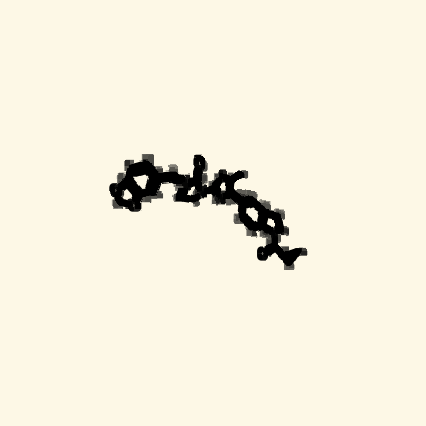 Cc1sc(N2CCN(Cc3ccc4c(c3)OCO4)C2=O)nc1-c1ccc2c(c1)CCN2C(=O)C1CC1